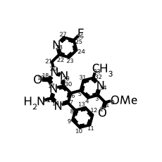 COC(=O)c1cc(-c2c(-c3ccccc3)nc(N)n3c(=O)n(Cc4ccc(F)cn4)nc23)cc(C)n1